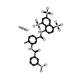 Cc1ccc(C(=O)Nc2ccc(S(=O)(=O)[O-])c3cc(S(=O)(=O)[O-])cc(S(=O)(=O)[O-])c23)cc1NC(=O)c1cccc([N+](=O)[O-])c1.[Na+].[Na+].[Na+]